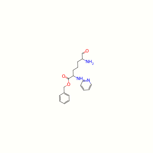 NC(C=O)CCCC(N)C(=O)OCc1ccccc1.c1ccncc1